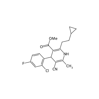 COC(=O)C1=C(CCC2CC2)NC(C)=C(C#N)C1c1ccc(F)cc1Cl